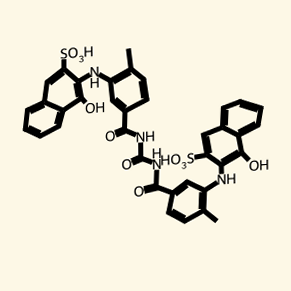 Cc1ccc(C(=O)NC(=O)NC(=O)c2ccc(C)c(Nc3c(S(=O)(=O)O)cc4ccccc4c3O)c2)cc1Nc1c(S(=O)(=O)O)cc2ccccc2c1O